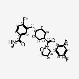 CNC(=O)c1ccc(F)c(C[C@H]2CC[C@H](C(=O)N3OCC[C@H]3c3cc(F)cc(F)c3)CC2)c1